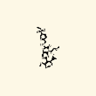 CCS(=O)(=O)c1ccc(CNc2nc3cnc(-c4c(OC)ncnc4C4CC4)nc3n([C@@H](C)COC)c2=O)nc1